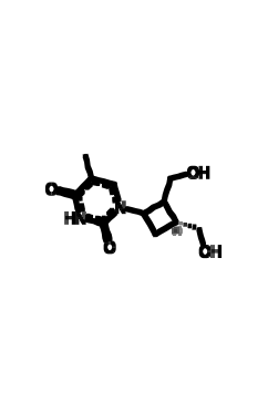 Cc1cn(C2C[C@@H](CO)C2CO)c(=O)[nH]c1=O